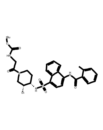 CC[C@@H]1CN(C(=O)CNC(=O)OC(C)(C)C)CC[C@@H]1NS(=O)(=O)c1ccc(NC(=O)c2ccccc2C)c2ccccc12